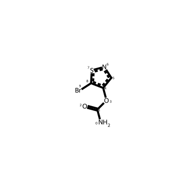 NC(=O)Oc1cnsc1Br